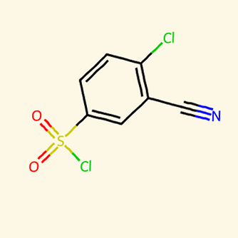 N#Cc1cc(S(=O)(=O)Cl)ccc1Cl